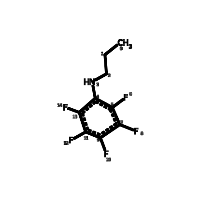 CCCNc1c(F)c(F)c(F)c(F)c1F